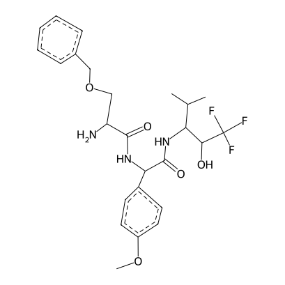 COc1ccc(C(NC(=O)C(N)COCc2ccccc2)C(=O)NC(C(C)C)C(O)C(F)(F)F)cc1